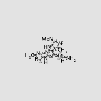 CNc1cc(F)cc2c1[nH]c1nc(Nc3cnc(C)nc3)nc(N3C[C@H]4C([C@H]4N)[C@H]3C)c12